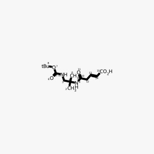 CC(C)(CNC(=O)OC(C)(C)C)NC(=O)CC=CC(=O)O